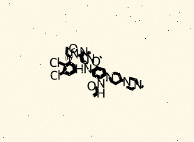 C=CC(=O)Nc1cc(Nc2cc(N3OCC[C@@H]3c3cccc(Cl)c3Cl)ncn2)c(OC)cc1N1CCC(N2CCN(C)CC2)CC1